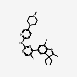 CCC1(CC)C(C)=Nc2c(F)cc(-c3nc(Nc4ccc(N5CCN(C)CC5)cn4)ncc3F)cc21